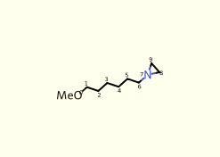 COCCCCCCN1CC1